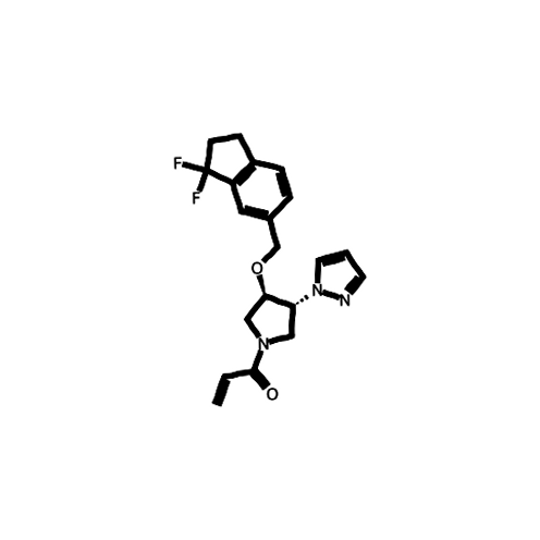 C=CC(=O)N1C[C@@H](n2cccn2)[C@H](OCc2ccc3c(c2)C(F)(F)CC3)C1